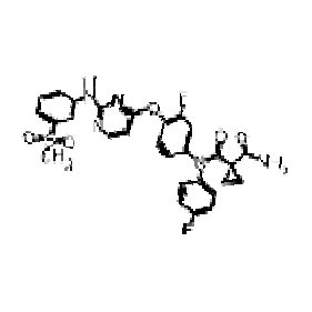 CS(=O)(=O)c1cccc(Nc2nccc(Oc3ccc(N(C(=O)C4(C(N)=O)CC4)c4ccc(F)cc4)cc3F)n2)c1